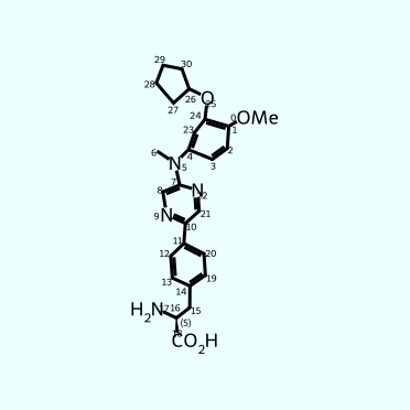 COc1ccc(N(C)c2cnc(-c3ccc(C[C@H](N)C(=O)O)cc3)cn2)cc1OC1CCCC1